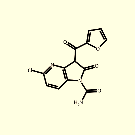 NC(=O)N1C(=O)C(C(=O)c2ccco2)c2nc(Cl)ccc21